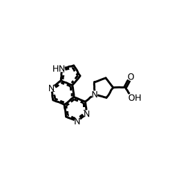 O=C(O)C1CCN(c2nncc3cnc4[nH]ccc4c23)C1